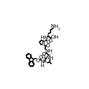 CC(C)C[C@H](NC(=O)OCC1c2ccccc2-c2ccccc21)C(=O)N[C@@H](C)C(=O)NCC(=O)N1CCC[C@H]1C(=O)N[C@@H](CCCCN)C(=O)O